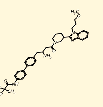 COCCCn1c(C2CCCN(C(=O)CC(N)Cc3ccc(-c4ccc(NC(=O)C(C)(C)O)cc4)cc3)C2)nc2ccccc21